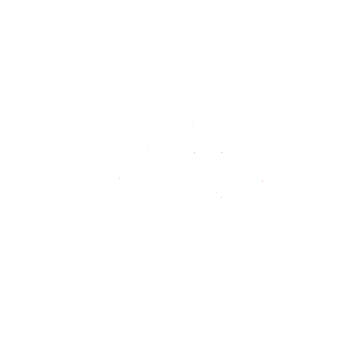 CC/C=C/C=C\C/C=C\CCC(=O)O